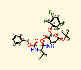 CC(C)C(NC(=O)OCc1ccccc1)C(=O)NC(CC(=O)OC(C)(C)C)C(=O)COc1c(F)c(F)cc(F)c1F